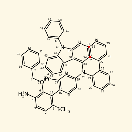 Cc1ccc(N)c(OCc2ccccc2)c1-c1ccc(N(c2ccccc2-c2ccccc2)c2cccc3c2c2ccccc2n3-c2ccccc2)cc1C(C)C